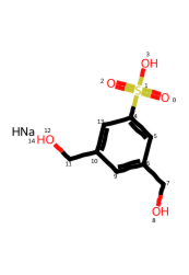 O=S(=O)(O)c1cc(CO)cc(CO)c1.[NaH]